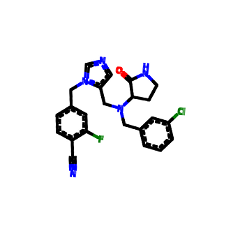 N#Cc1ccc(Cn2cncc2CN(Cc2cccc(Cl)c2)C2CCNC2=O)cc1F